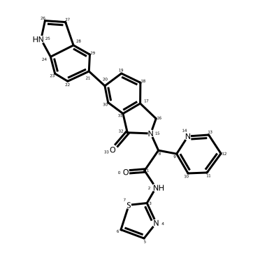 O=C(Nc1nccs1)C(c1ccccn1)N1Cc2ccc(-c3ccc4[nH]ccc4c3)cc2C1=O